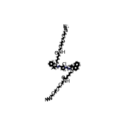 CC1(C)C(/C=C/C2=C(Cl)C(=C/C=C3/N(CCCCCC(=O)NCCOCCOCCOCCN=[N+]=[N-])c4ccc5ccccc5c4C3(C)C)/CC2)=[N+](CCCCCC(=O)NCCOCCOCCOCCN=[N+]=[N-])c2ccccc21